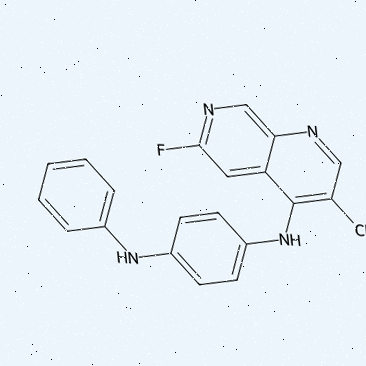 N#Cc1cnc2cnc(F)cc2c1Nc1ccc(Nc2ccccc2)cc1